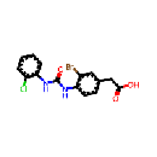 O=C(O)Cc1ccc(NC(=O)Nc2ccccc2Cl)c(Br)c1